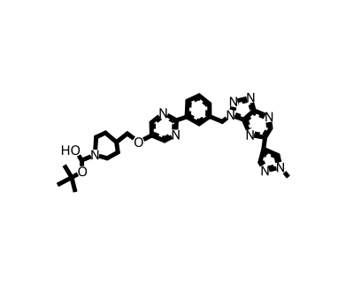 Cn1cc(-c2cnc3nnn(Cc4cccc(-c5ncc(OCC6CCN(C(O)OC(C)(C)C)CC6)cn5)c4)c3n2)cn1